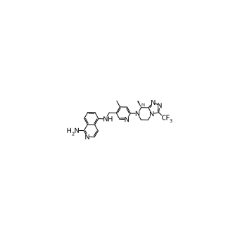 Cc1cc(N2CCn3c(nnc3C(F)(F)F)[C@@H]2C)ncc1CNc1cccc2c(N)nccc12